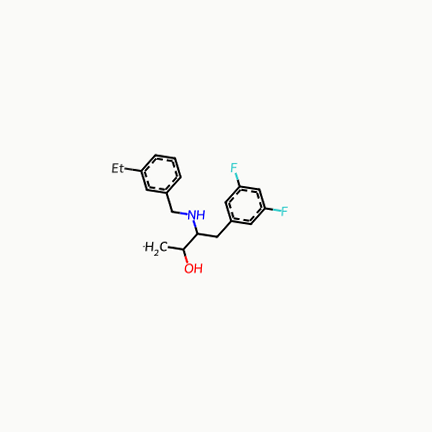 [CH2]C(O)C(Cc1cc(F)cc(F)c1)NCc1cccc(CC)c1